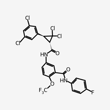 O=C(Nc1ccc(F)cc1)c1cc(NC(=O)[C@@H]2[C@@H](c3cc(Cl)cc(Cl)c3)C2(Cl)Cl)ccc1OC(F)(F)F